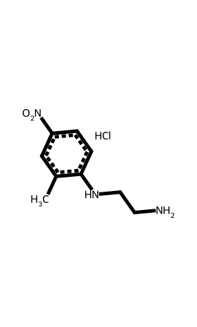 Cc1cc([N+](=O)[O-])ccc1NCCN.Cl